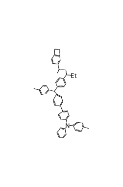 CCC(CC(C)c1ccc2c(c1)CC2)c1ccc(C(c2ccc(C)cc2)c2ccc(-c3ccc(N(c4ccccc4)c4ccc(C)cc4)cc3)cc2)cc1